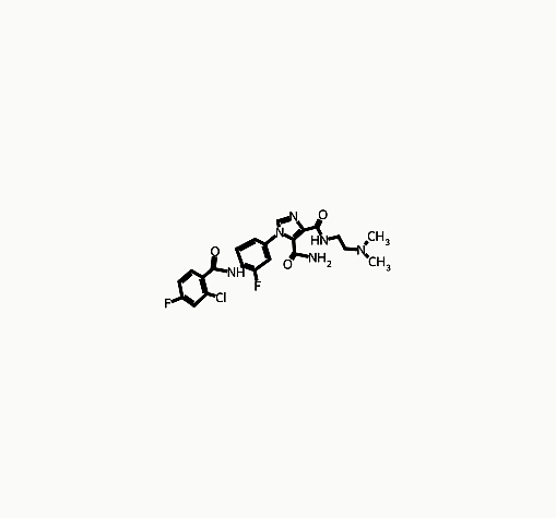 CN(C)CCNC(=O)c1ncn(-c2ccc(NC(=O)c3ccc(F)cc3Cl)c(F)c2)c1C(N)=O